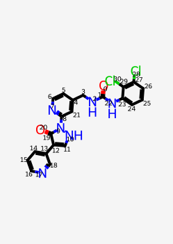 O=C(NCc1ccnc(-n2[nH]cc(-c3cccnc3)c2=O)c1)Nc1cccc(Cl)c1Cl